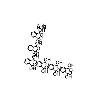 O=C(O)c1ccccc1C(=O)O.O=C(O)c1ccccc1C(=O)O.O=C(O)c1ccccc1C(=O)O.O=C(O)c1ccccc1C(=O)O.O=C(O)c1ccccc1C(=O)O.O=C(O)c1ccccc1C(=O)O.[NaH].[NaH]